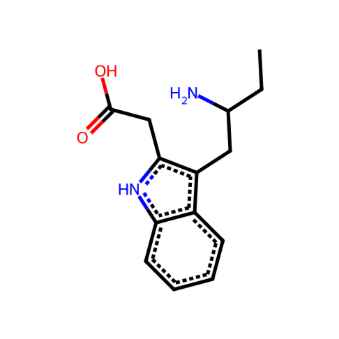 CCC(N)Cc1c(CC(=O)O)[nH]c2ccccc12